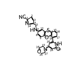 N#Cc1ccc(CNc2ccc3c(c2)Sc2cccc(-c4cc(N5CCOCC5)cc(=O)[nH]4)c2O3)cn1